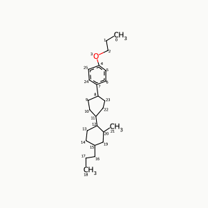 CCCOc1ccc(C2CCC(C3CCC(CCC)CC3C)CC2)cc1